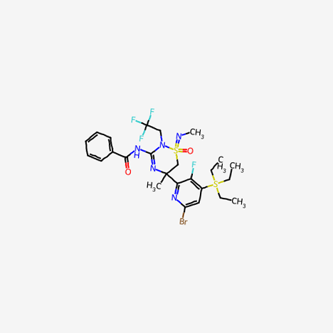 CCS(CC)(CC)c1cc(Br)nc(C2(C)CS(=O)(=NC)N(CC(F)(F)F)C(NC(=O)c3ccccc3)=N2)c1F